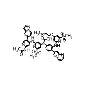 COCCOc1cc(Nc2cc(N(C(C)=O)c3cc(Nc4cc(NC(C)=O)ncc4-c4ccn5nccc5n4)nc(S(C)(=O)=O)c3)ncc2-c2cc3ncccn3n2)nc(S(C)(=O)=O)c1